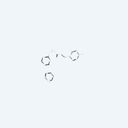 C[C@H](NC(=O)C=Cc1ccc(Cl)cc1F)c1cccc(Oc2ccncc2)c1